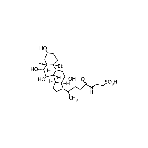 CC[C@]12CC[C@@H](O)C[C@H]1[C@@H](O)[C@@H](O)[C@H]1[C@@H]3CCC(C(C)CCC(=O)NCCS(=O)(=O)O)[C@H]3[C@@H](O)C[C@@H]12